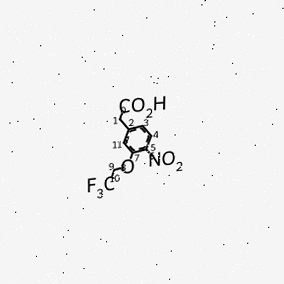 O=C(O)Cc1ccc([N+](=O)[O-])c(OCC(F)(F)F)c1